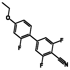 CCOc1ccc(-c2cc(F)c(C#N)c(F)c2)c(F)c1